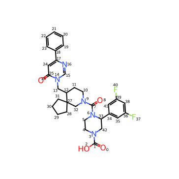 O=C(O)N1CCN(C(=O)N2CCC(Cn3cnc(-c4ccccc4)cc3=O)C3(CCCC3)C2)C(c2cc(F)cc(F)c2)C1